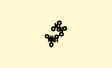 c1ccc(C2=NC(c3ccccc3)NC(c3ccc(-c4cccc(-n5c6ccccc6c6c7c(oc65)c(-c5ccccc5)nc5ccccc57)c4)cc3)=N2)cc1